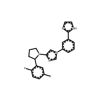 Fc1ccc(F)c(C2CCCN2c2cn(-c3cccc(-c4ncc[nH]4)c3)cn2)c1